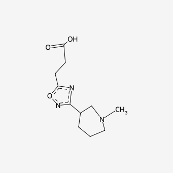 CN1CCCC(c2noc(CCC(=O)O)n2)C1